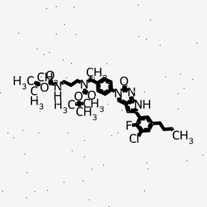 CCCCc1cc(Cl)c(F)c(-c2cc3cn(-c4ccc([C@H](C)N(CCCNC(=O)OC(C)(C)C)C(=O)OC(C)(C)C)cc4)c(=O)nc3[nH]2)c1